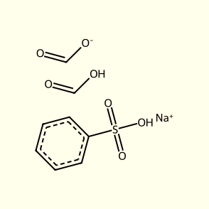 O=CO.O=C[O-].O=S(=O)(O)c1ccccc1.[Na+]